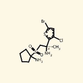 C[C@](N)(CS(=O)(=O)C1(N)CCCC1)c1sc(Br)cc1Cl